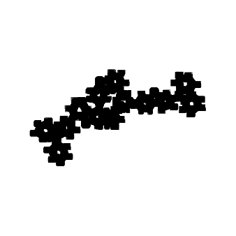 c1ccc(-c2nc(-c3ccc4c(c3)oc3cc(-n5c6ccccc6c6ccccc65)ccc34)nc(-c3cccc4oc5ccc(-c6cccc7oc8c(-c9ccc%10c(c9)c9ccccc9n%10-c9ccccc9)cccc8c67)cc5c34)n2)cc1